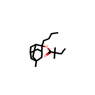 CCCCC1(OC(=O)C(C)(C)CC)C2CC3CC1CC(C)(C3)C2